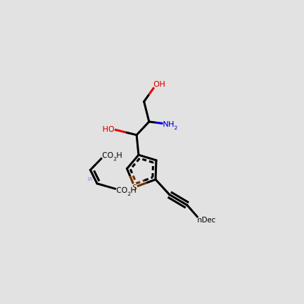 CCCCCCCCCCC#Cc1cc(C(O)C(N)CO)cs1.O=C(O)/C=C\C(=O)O